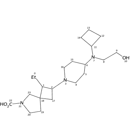 CCC1C(N2CCC(N(CCO)C3CCC3)CC2)CC12CCN(C(=O)O)C2